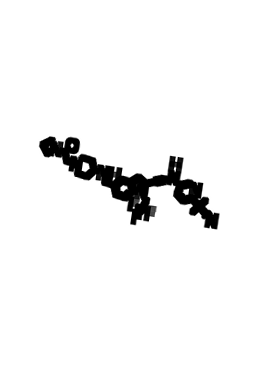 CC(C)(C#N)c1ccc(NC#Cc2cc3cc(CNC4CCN(CC(=O)N5CCC5)CC4)ccc3n2CC(F)(F)F)cn1